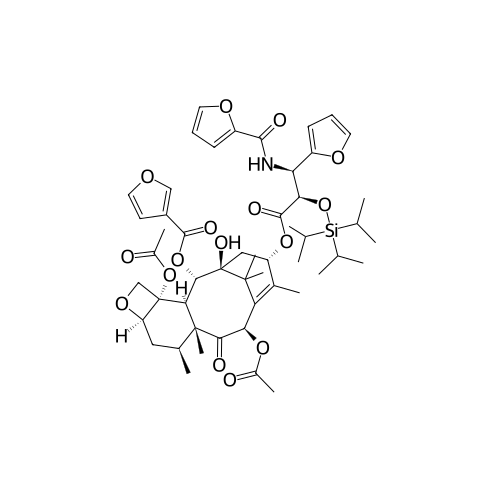 CC(=O)O[C@H]1C(=O)[C@@]2(C)[C@H]([C@H](OC(=O)c3ccoc3)[C@]3(O)C[C@H](OC(=O)[C@H](O[Si](C(C)C)(C(C)C)C(C)C)[C@@H](NC(=O)c4ccco4)c4ccco4)C(C)=C1C3(C)C)[C@]1(OC(C)=O)CO[C@@H]1C[C@@H]2C